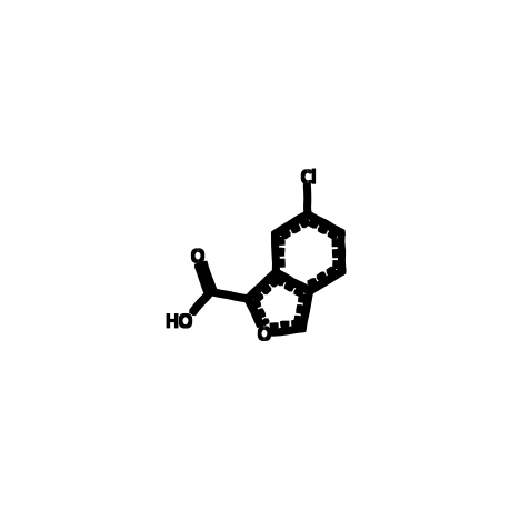 O=C(O)c1occ2ccc(Cl)cc12